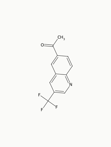 CC(=O)c1ccc2ncc(C(F)(F)F)cc2c1